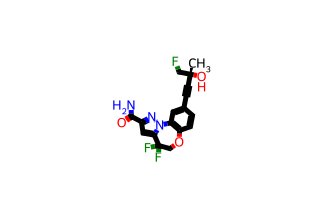 C[C@@](O)(C#Cc1ccc2c(c1)-n1nc(C(N)=O)cc1C(F)(F)CO2)CF